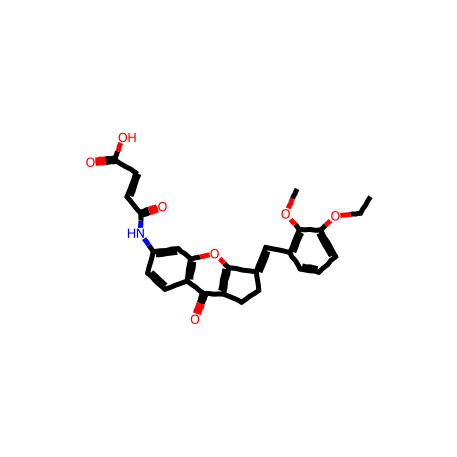 CCOc1cccc(C=C2CCc3c2oc2cc(NC(=O)C=CC(=O)O)ccc2c3=O)c1OC